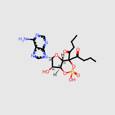 CCCC(=O)C1(C(=O)CCC)OP(=O)(O)O[C@H]2[C@@H](O)[C@H](n3cnc4c(N)ncnc43)O[C@@H]21